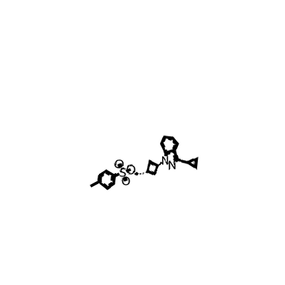 Cc1ccc(S(=O)(=O)OC[C@H]2C[C@H](n3nc(C4CC4)c4ccccc43)C2)cc1